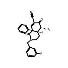 C[C@H]1C(=O)C(C#N)=C[C@@]2(c3ccccc3)C(=O)N(Cc3cccc(F)c3)CC[C@H]12